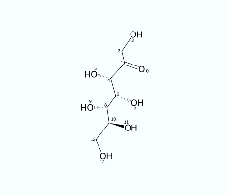 O=C(CO)[C@@H](O)[C@H](O)[C@@H](O)[C@@H](O)CO